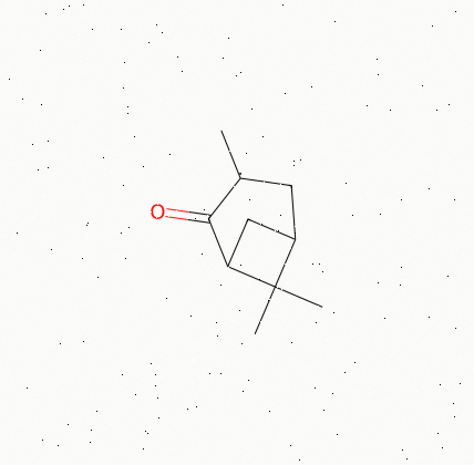 C[C]1CC2CC(C1=O)C2(C)C